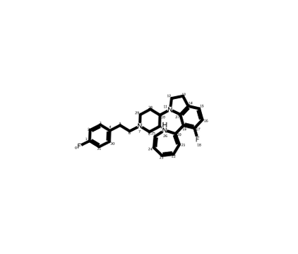 Fc1ccc(CCN2CCC(N3CCc4ccc(F)c(C5=CC=CC=CN5)c43)CC2)cc1